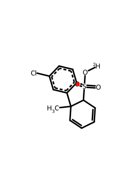 [2H]OS(=O)(=O)C1C=CC=CC1(C)c1cccc(Cl)c1